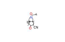 CC1(C)C(=O)C(C#N)=C[C@]2(C)CN(C(=O)C3CC3)CC[C@@H]12